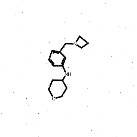 [c]1ccc(CN2CCC2)cc1NC1CCOCC1